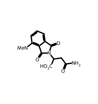 CNc1cccc2c1C(=O)N(C(CC(N)=O)C(=O)O)C2=O